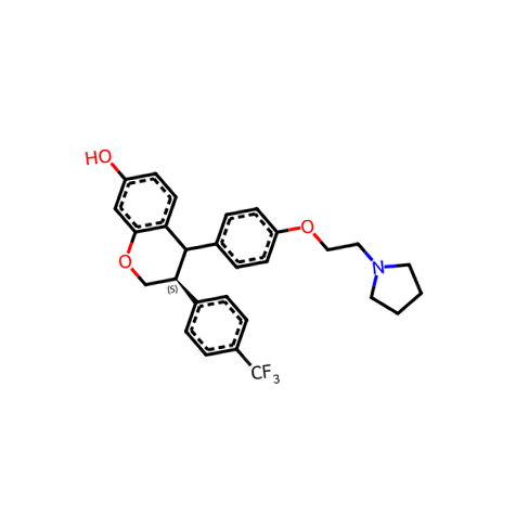 Oc1ccc2c(c1)OC[C@H](c1ccc(C(F)(F)F)cc1)C2c1ccc(OCCN2CCCC2)cc1